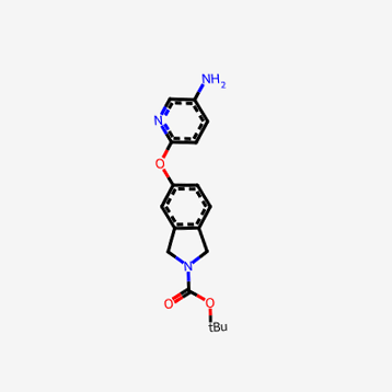 CC(C)(C)OC(=O)N1Cc2ccc(Oc3ccc(N)cn3)cc2C1